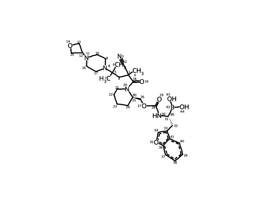 CC(C#N)(CC(C)(C)N1CCN(C2COC2)CC1)C(=O)N1CCCC[C@@H]1COC(=O)N[C@@H](Cc1coc2ccccc12)B(O)O